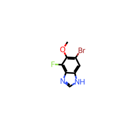 COc1c(Br)cc2[nH]cnc2c1F